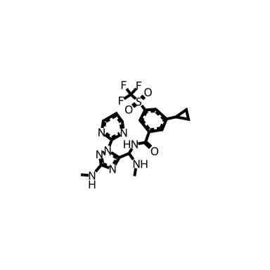 CNc1nc(C(NC)NC(=O)c2cc(C3CC3)cc(S(=O)(=O)C(F)(F)F)c2)n(-c2ncccn2)n1